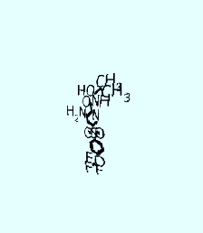 CC(C)C(O)NC(=O)c1ncc(S(=O)(=O)c2ccc(OC(F)(F)F)cc2)cc1N